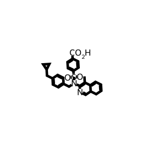 CC1=C(N(Cc2ccc(CC3CC3)cc2)S(=O)(=O)c2ccc(C(=O)O)cc2)N=CC2CC=CC=C12